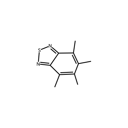 Cc1c(C)c(C)c2nsnc2c1C